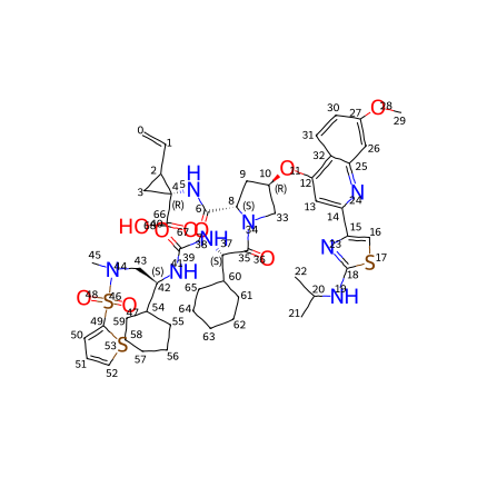 C=CC1C[C@]1(NC(=O)[C@@H]1C[C@@H](Oc2cc(-c3csc(NC(C)C)n3)nc3cc(OC)ccc23)CN1C(=O)[C@@H](NC(=O)N[C@H](CN(C)S(=O)(=O)c1cccs1)C1CCCCC1)C1CCCCC1)C(=O)O